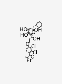 C=C(CC)C(=O)c1ccc(OCCC(O)[C@H]2O[C@](O)(Cc3ccccc3)C[C@@H](O)[C@@H]2O)c(Cl)c1Cl